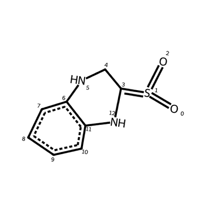 O=S(=O)=C1CNc2ccccc2N1